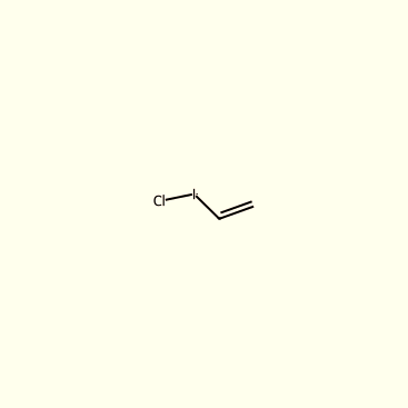 C=C[I]Cl